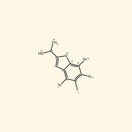 [2H]c1c(F)c([2H])c2cc(C(C)O)oc2c1[2H]